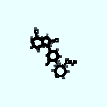 Cc1cc(-n2c(Cl)cc3c(Cl)ncnc32)ccc1[C@H]1COCCN1C(=O)O